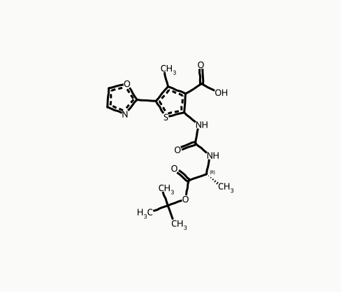 Cc1c(-c2ncco2)sc(NC(=O)N[C@H](C)C(=O)OC(C)(C)C)c1C(=O)O